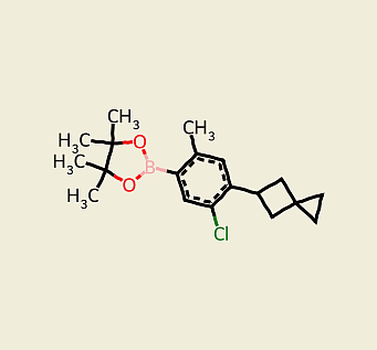 Cc1cc(C2CC3(CC3)C2)c(Cl)cc1B1OC(C)(C)C(C)(C)O1